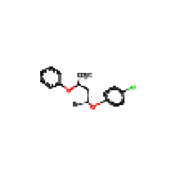 CCOC(=O)C(CC(CC)Oc1ccc(Cl)cc1)Oc1ccccc1